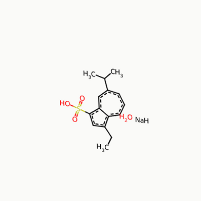 CCc1cc(S(=O)(=O)O)c2cc(C(C)C)cccc1-2.O.[NaH]